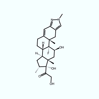 C[C@@H]1C[C@H]2[C@@H]3CCC4=Cc5nn(C)cc5C[C@]4(C)[C@@]3(F)[C@@H](O)C[C@]2(C)[C@@]1(O)C(=O)CO